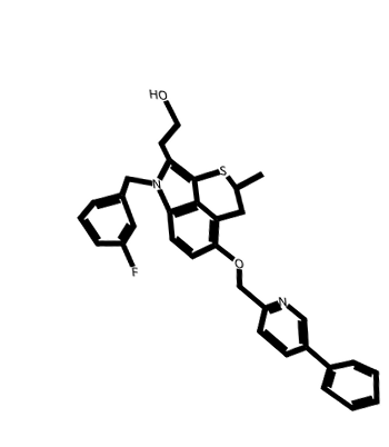 CC1Cc2c(OCc3ccc(-c4ccccc4)cn3)ccc3c2c(c(CCO)n3Cc2cccc(F)c2)S1